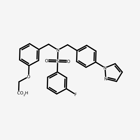 O=C(O)COc1cccc(CN(Cc2ccc(-n3cccn3)cc2)S(=O)(=O)c2cccc(F)c2)c1